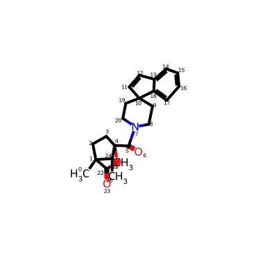 CC12CCC(C(=O)N3CCC4(C=Cc5ccccc54)CC3)(OC1=O)C2(C)C